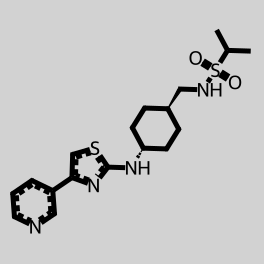 CC(C)S(=O)(=O)NC[C@H]1CC[C@H](Nc2nc(-c3cccnc3)cs2)CC1